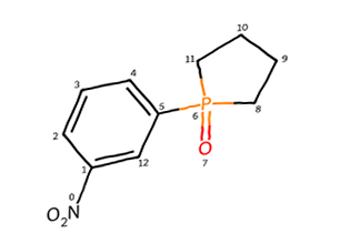 O=[N+]([O-])c1cccc(P2(=O)CCCC2)c1